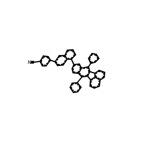 N#Cc1ccc(-c2ccc3c(-c4ccc5c(-c6ccccc6)c6c(c(-c7ccccc7)c5c4)-c4cccc5cccc-6c45)cccc3c2)cc1